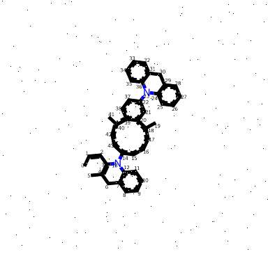 C/C=C\C1=C(C)Cc2ccccc2N1c1cccc(C)c2cc(N3c4ccccc4Cc4ccccc43)ccc2c(C)cc1